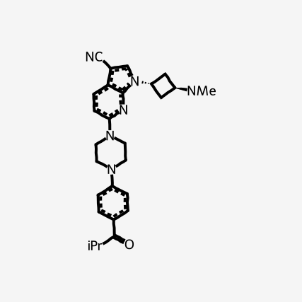 CN[C@H]1C[C@H](n2cc(C#N)c3ccc(N4CCN(c5ccc(C(=O)C(C)C)cc5)CC4)nc32)C1